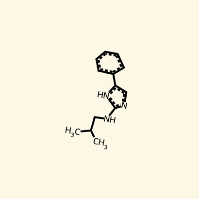 CC(C)CNc1ncc(-c2ccccc2)[nH]1